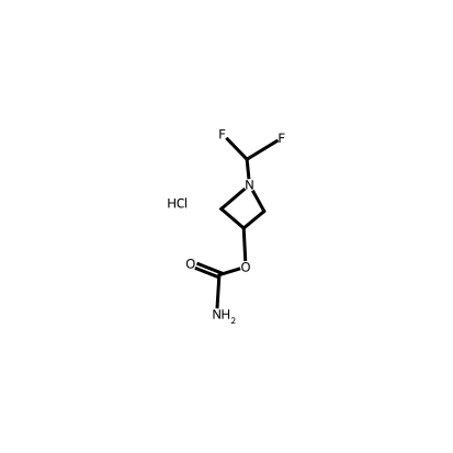 Cl.NC(=O)OC1CN(C(F)F)C1